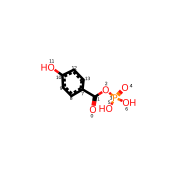 O=C(OP(=O)(O)O)c1ccc(O)cc1